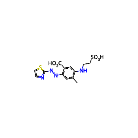 Cc1cc(N=Nc2nccs2)c(C(=O)O)cc1NCCS(=O)(=O)O